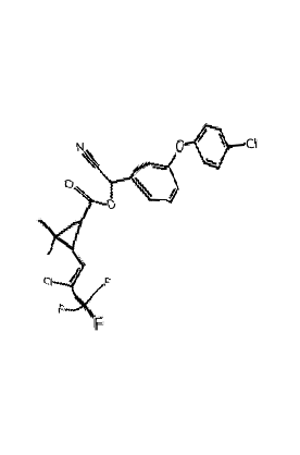 CC1(C)C(/C=C(\Cl)C(F)(F)F)C1C(=O)OC(C#N)c1cccc(Oc2ccc(Cl)cc2)c1